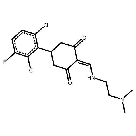 CN(C)CCNC=C1C(=O)CC(c2c(Cl)ccc(F)c2Cl)CC1=O